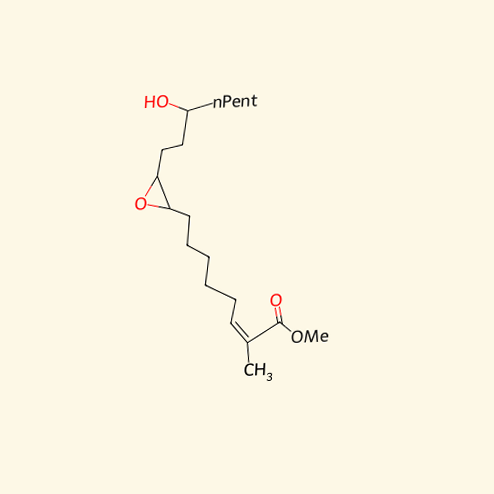 CCCCCC(O)CCC1OC1CCCCCC=C(C)C(=O)OC